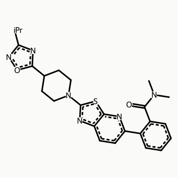 CC(C)c1noc(C2CCN(c3nc4ccc(-c5ccccc5C(=O)N(C)C)nc4s3)CC2)n1